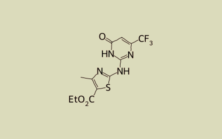 CCOC(=O)c1sc(Nc2nc(C(F)(F)F)cc(=O)[nH]2)nc1C